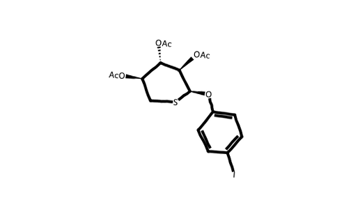 CC(=O)O[C@@H]1[C@@H](OC(C)=O)[C@@H](Oc2ccc(I)cc2)SC[C@H]1OC(C)=O